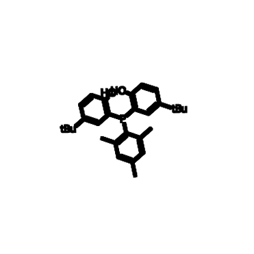 Cc1cc(C)c(P(c2cc(C(C)(C)C)ccc2O)c2cc(C(C)(C)C)ccc2O)c(C)c1